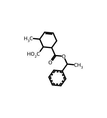 CC(OC(=O)C1CC=CC(C)C1C(=O)O)c1ccccc1